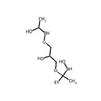 CCC(C)(BO)OCC(O)COBC(C)O